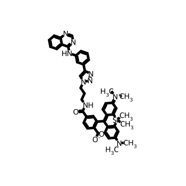 CN(C)c1ccc2c(c1)[Si](C)(C)C1=CC(=[N+](C)C)C=CC1=C2c1cc(C(=O)NCCCn2cc(-c3cccc(Nc4ncnc5ccccc45)c3)nn2)ccc1C(=O)[O-]